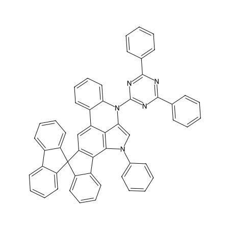 c1ccc(-c2nc(-c3ccccc3)nc(N3c4ccccc4-c4cc5c(c6c4c3cn6-c3ccccc3)-c3ccccc3C53c4ccccc4-c4ccccc43)n2)cc1